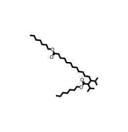 CCCCCCCOC(=O)CCCCCCCCCCCC(C(C)C)C(C(=O)OCCCCCCC)C(C)C